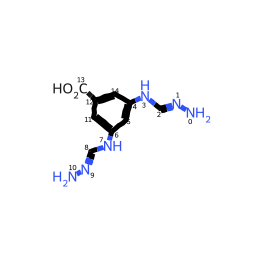 NN=CNc1cc(NC=NN)cc(C(=O)O)c1